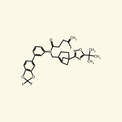 C=C(F)CCC(=O)N(CC1=C2CC(c3noc(C(C)(C)C)n3)(CC1)C2)c1cccc(-c2ccc3c(c2)OC(F)(F)O3)c1